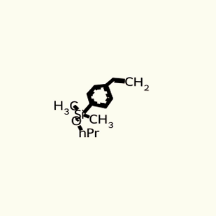 C=Cc1ccc([Si](C)(C)OCCC)cc1